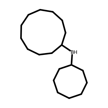 B(C1CCCCCCCCCC1)C1CCCCCCC1